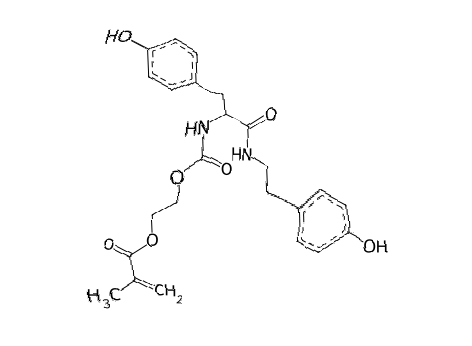 C=C(C)C(=O)OCCOC(=O)NC(Cc1ccc(O)cc1)C(=O)NCCc1ccc(O)cc1